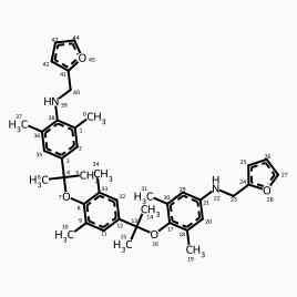 Cc1cc(C(C)(C)Oc2c(C)cc(C(C)(C)Oc3c(C)cc(NCc4ccco4)cc3C)cc2C)cc(C)c1NCc1ccco1